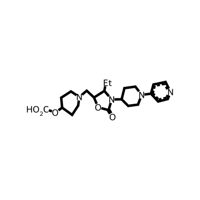 CCC1C(CN2CCC(OC(=O)O)CC2)OC(=O)N1C1CCN(c2ccncc2)CC1